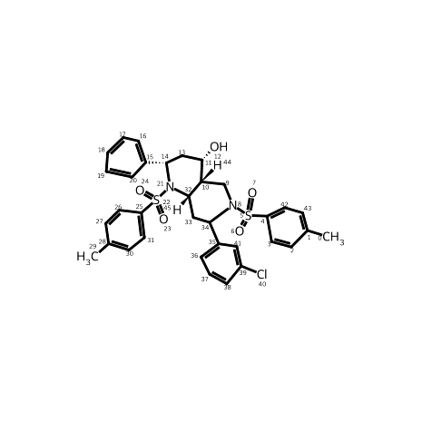 Cc1ccc(S(=O)(=O)N2C[C@H]3[C@@H](O)C[C@@H](c4ccccc4)N(S(=O)(=O)c4ccc(C)cc4)[C@H]3CC2c2cccc(Cl)c2)cc1